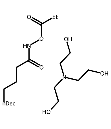 CCCCCCCCCCCCCC(=O)NOC(=O)CC.OCCN(CCO)CCO